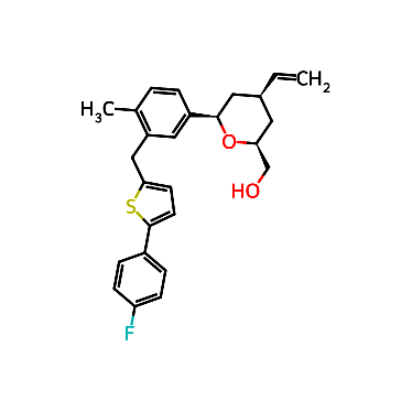 C=C[C@H]1C[C@@H](CO)O[C@@H](c2ccc(C)c(Cc3ccc(-c4ccc(F)cc4)s3)c2)C1